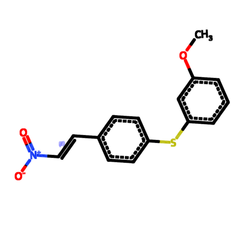 COc1cccc(Sc2ccc(/C=C/[N+](=O)[O-])cc2)c1